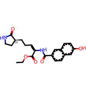 CCOC(=O)C(=CCC[C@H]1CCNC1=O)NC(=O)c1ccc2cc(O)ccc2c1